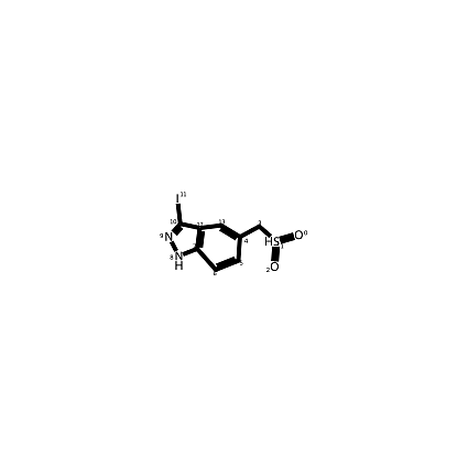 O=[SH](=O)Cc1ccc2[nH]nc(I)c2c1